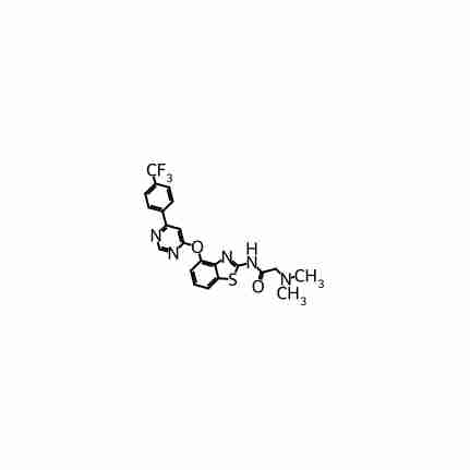 CN(C)CC(=O)Nc1nc2c(Oc3cc(-c4ccc(C(F)(F)F)cc4)ncn3)cccc2s1